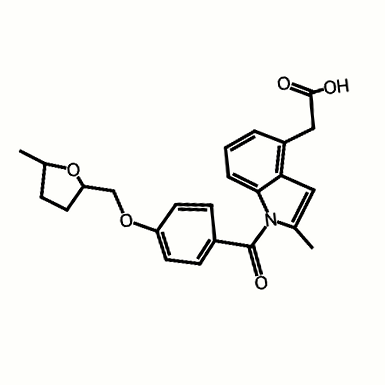 Cc1cc2c(CC(=O)O)cccc2n1C(=O)c1ccc(OCC2CCC(C)O2)cc1